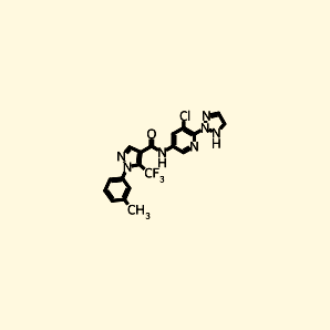 Cc1cccc(-n2ncc(C(=O)Nc3cnc(N4N=CCN4)c(Cl)c3)c2C(F)(F)F)c1